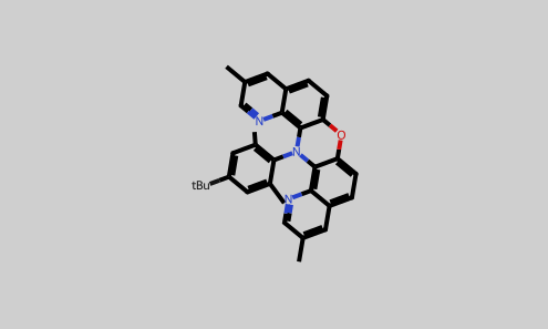 Cc1cnc2c3c(ccc2c1)Oc1ccc2cc(C)cnc2c1N3c1c(C)cc(C(C)(C)C)cc1C